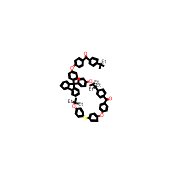 CCC(C)(CC)Oc1ccc(Sc2ccc(Oc3ccc(C(=O)c4ccc(C(CC)(CC)C(C)(CC)Oc5ccc(C6(c7ccc(Oc8ccc(C(=O)c9ccc(C(C)(C)CC)cc9)cc8)cc7)c7ccccc7-c7ccccc76)cc5)cc4)cc3)cc2)cc1